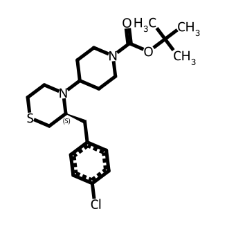 CC(C)(C)OC(=O)N1CCC(N2CCSC[C@@H]2Cc2ccc(Cl)cc2)CC1